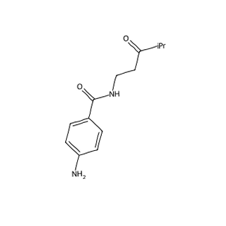 CC(C)C(=O)CCNC(=O)c1ccc(N)cc1